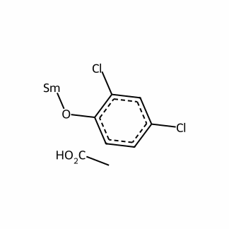 CC(=O)O.Clc1ccc([O][Sm])c(Cl)c1